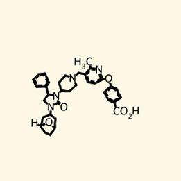 Cc1nc(Oc2ccc(C(=O)O)cc2)ccc1CN1CCC(N2C(=O)N(C3CC4CC[C@H](C3)O4)CC2c2ccccc2)CC1